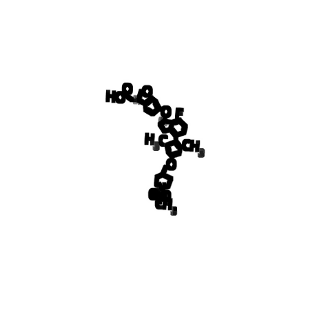 Cc1cc(OCC2CCN(S(C)(=O)=O)CC2)cc(C)c1-c1ccc(F)c2c1CC[C@H]2Oc1ccc2c(c1)OC[C@H]2CC(=O)O